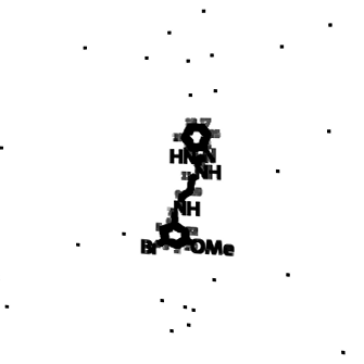 COc1cc(Br)cc(CNCCCNc2nc3ccccc3[nH]2)c1